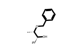 CC(C)[C@@H](O)[C@H](C)OCc1ccccc1